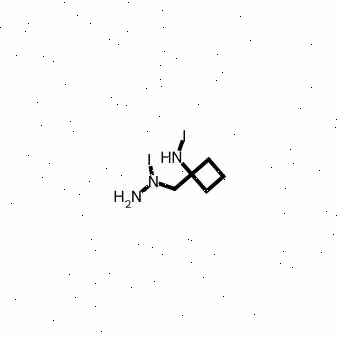 NN(I)CC1(NI)CCC1